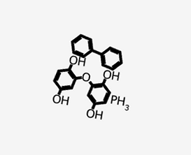 Oc1ccc(O)c(Oc2cc(O)ccc2O)c1.P.c1ccc(-c2ccccc2)cc1